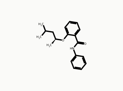 CC(C)C[C@H](C)Oc1ccccc1C(=O)Nc1ccccc1